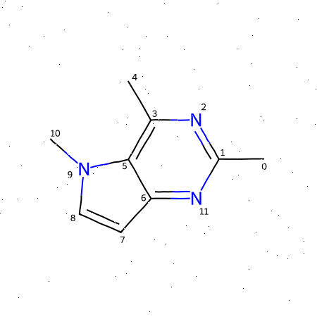 Cc1nc(C)c2c(ccn2C)n1